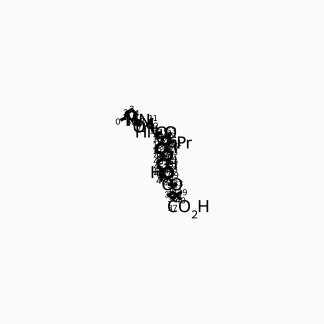 Cc1cccc(C(=O)NC(C)(C)CNC(=O)C[C@@]23CC[C@]4(C)[C@H](CC[C@@H]5[C@@]6(C)CC[C@H](OC(=O)[C@H]7C[C@@H](C(=O)O)C7(C)C)C(C)(C)[C@@H]6CC[C@]54C)C2=C(C(C)C)C(=O)C3)n1